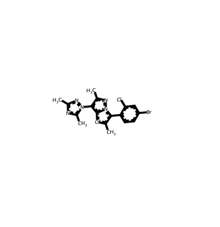 Cc1nc(C)n(-c2c(C)nn3c(-c4ccc(Br)cc4Cl)c(C)oc23)n1